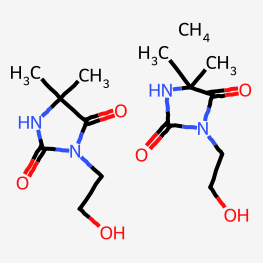 C.CC1(C)NC(=O)N(CCO)C1=O.CC1(C)NC(=O)N(CCO)C1=O